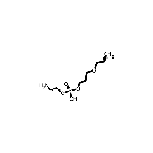 C=CCOCCCOP(=O)(O)OCCN